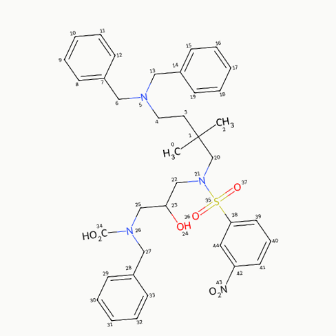 CC(C)(CCN(Cc1ccccc1)Cc1ccccc1)CN(CC(O)CN(Cc1ccccc1)C(=O)O)S(=O)(=O)c1cccc([N+](=O)[O-])c1